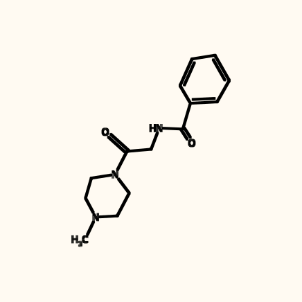 CN1CCN(C(=O)CNC(=O)c2ccccc2)CC1